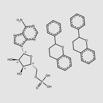 Nc1ncnc2c1ncn2[C@@H]1O[C@H](COP(=O)(O)O)[C@@H](O)[C@H]1O.c1ccc(C2CCc3ccccc3O2)cc1.c1ccc(C2CCc3ccccc3O2)cc1